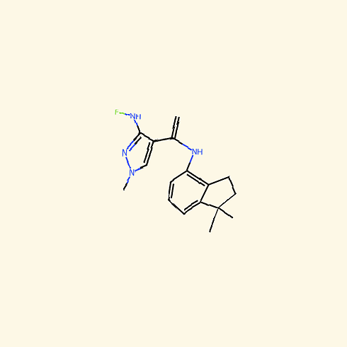 C=C(Nc1cccc2c1CCC2(C)C)c1cn(C)nc1NF